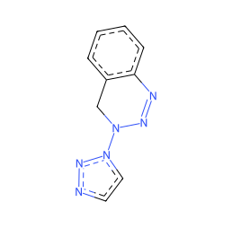 c1ccc2c(c1)CN(n1ccnn1)N=N2